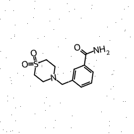 NC(=O)c1cccc(CN2CCS(=O)(=O)CC2)c1